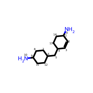 NC1C=CC(CC2CCC(N)CC2)CC1